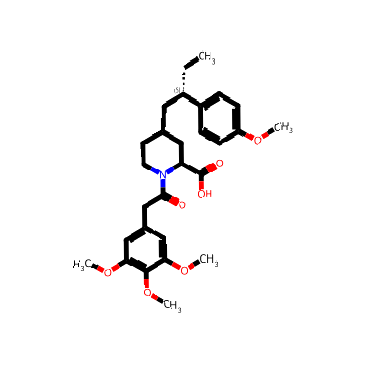 CC[C@@H](CC1CCN(C(=O)Cc2cc(OC)c(OC)c(OC)c2)C(C(=O)O)C1)c1ccc(OC)cc1